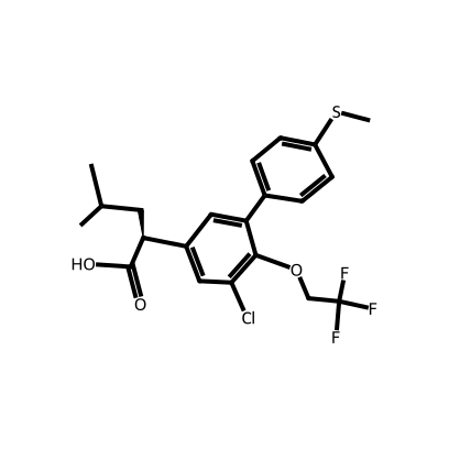 CSc1ccc(-c2cc([C@H](CC(C)C)C(=O)O)cc(Cl)c2OCC(F)(F)F)cc1